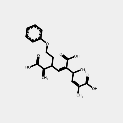 C=C(C(=O)O)C(C=C(C(=O)O)C(C)C=C(C)C(=O)O)CCOc1ccccc1